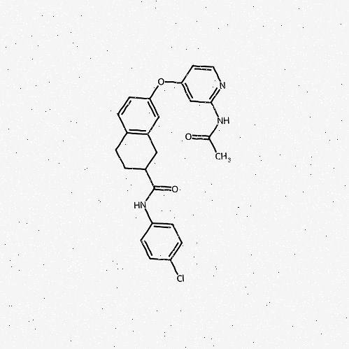 CC(=O)Nc1cc(Oc2ccc3c(c2)CC(C(=O)Nc2ccc(Cl)cc2)CC3)ccn1